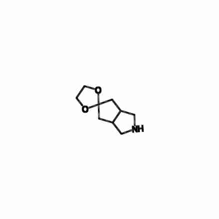 C1COC2(CC3CNCC3C2)O1